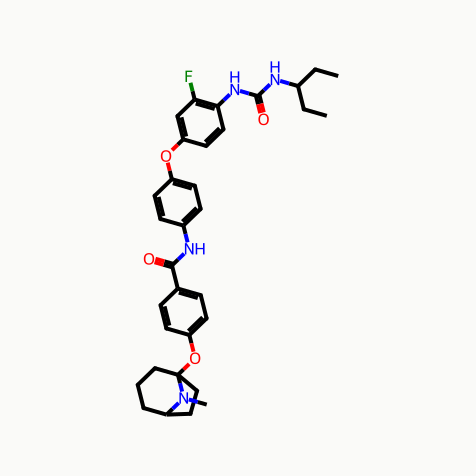 CCC(CC)NC(=O)Nc1ccc(Oc2ccc(NC(=O)c3ccc(OC45CCCC(CC4)N5C)cc3)cc2)cc1F